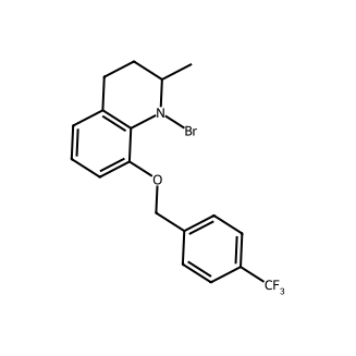 CC1CCc2cccc(OCc3ccc(C(F)(F)F)cc3)c2N1Br